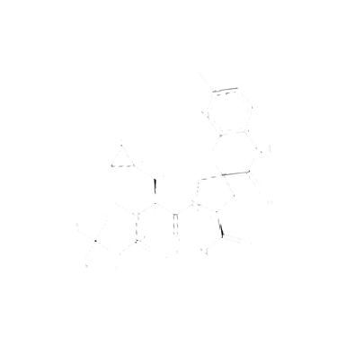 Cc1ccc2c(n1)OC1(C[C@@H](C(N)=O)N(C(=O)[C@H](CC3CC3)N(C)C(=O)OC(C)(C)C)C1)C(=O)N2